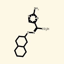 CCOC(=O)C(=NOC1CCC2CCCCC2C1)c1csc(N)n1